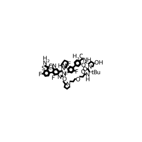 C[C@H](NC(=O)[C@@H]1C[C@@H](O)CN1C(=O)[C@@H](NC(=O)CCOCCCN1CCCC1COc1nc(N2CC3CCC(C2)N3)c2cc(Cl)c(-c3ccc(F)c4sc(N)c(C#N)c34)c(F)c2n1)C(C)(C)C)c1ccc(-c2c(F)cc(F)cc2F)cc1